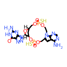 Nc1nc2c(nnn2[C@@H]2O[C@@H]3COP(=O)(S)OCCn4c(cc5c(N)ncnc54)COP(=O)(S)O[C@@H]2C3)c(=O)[nH]1